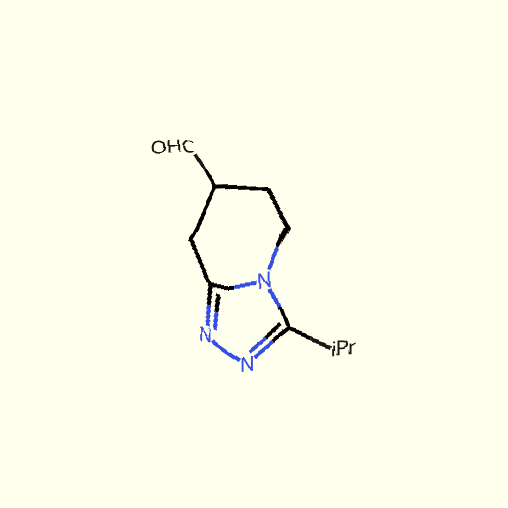 CC(C)c1nnc2n1CCC(C=O)C2